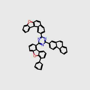 c1ccc(-c2cccc3c2oc2cccc(-c4nc(-c5ccc6c(ccc7ccccc76)c5)nc(-c5ccc6ccc7oc8ccccc8c7c6c5)n4)c23)cc1